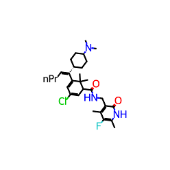 CCC/C=C(\C1=CC(Cl)=CC(C(=O)NCc2c(C)c(F)c(C)[nH]c2=O)C1(C)C)[C@H]1CC[C@H](N(C)C)CC1